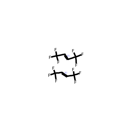 FC(F)(F)/C=C/C(F)(F)F.FC(F)(F)/C=C/C(F)(F)F